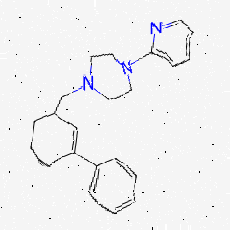 C1=C(c2ccccc2)CCCC1CN1CCN(c2ccccn2)CC1